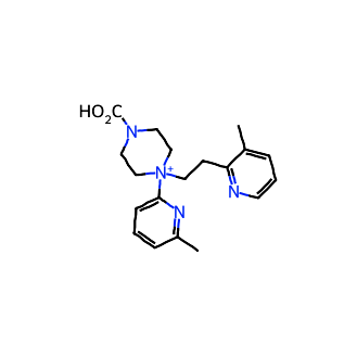 Cc1cccc([N+]2(CCc3ncccc3C)CCN(C(=O)O)CC2)n1